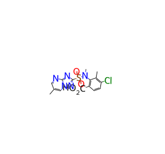 Cc1cnc2nc(S(=O)(=O)N(C)c3c(C(=O)O)ccc(Cl)c3C)nn2c1